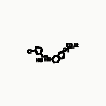 CCOC(=O)C(C)(C)Oc1ccc2c(c1)C[C@H](NC[C@H](O)c1cccc(Cl)c1)CC2